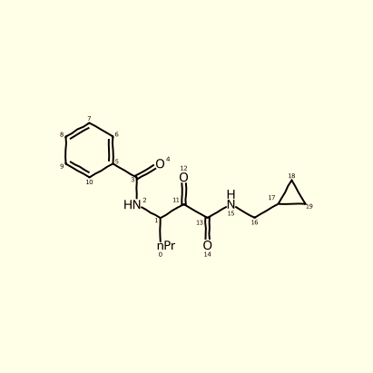 CCCC(NC(=O)c1ccccc1)C(=O)C(=O)NCC1CC1